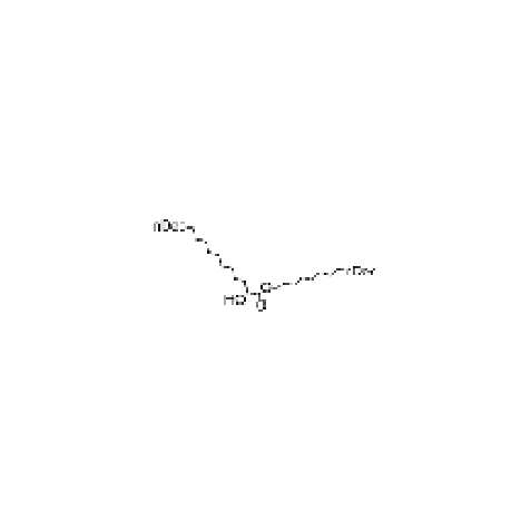 CCCCCCCCCCCCCCCCCCC=C(O)C(=O)OCCCCCCCCCCCCCCCCCC